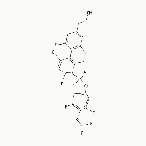 CCCc1cc(F)c(-c2c([O])cc(F)c(C(F)(F)Oc3cc(F)c(OC(F)F)c(F)c3)c2F)c(F)c1